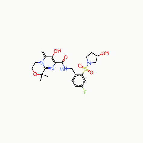 C=C1C(O)=C(C(=O)NCc2ccc(F)cc2S(=O)(=O)N2CCC(O)C2)N=C2N1CCOC2(C)C